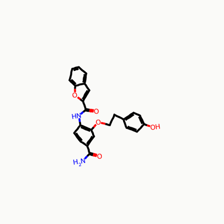 NC(=O)c1ccc(NC(=O)c2cc3ccccc3o2)c(OCCc2ccc(O)cc2)c1